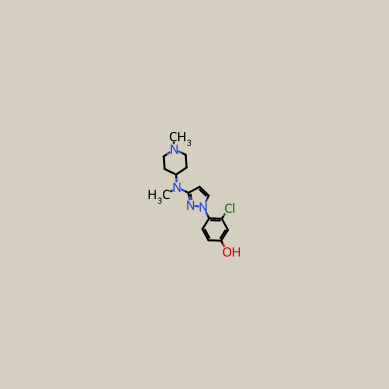 CN1CCC(N(C)c2ccn(-c3ccc(O)cc3Cl)n2)CC1